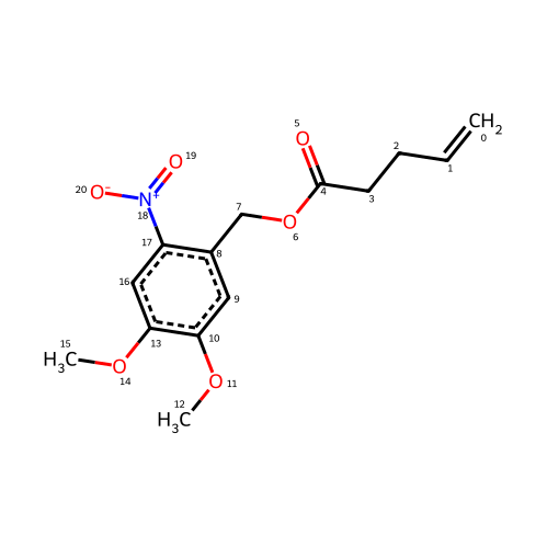 C=CCCC(=O)OCc1cc(OC)c(OC)cc1[N+](=O)[O-]